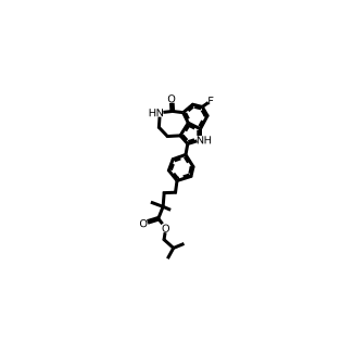 CC(C)COC(=O)C(C)(C)CCc1ccc(-c2[nH]c3cc(F)cc4c3c2CCNC4=O)cc1